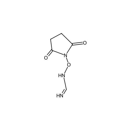 N=CNON1C(=O)CCC1=O